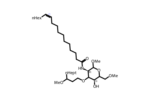 CCCCCC/C=C\CCCCCCCCCC(=O)N[C@H]1C(OC)OC(COC)[C@@H](O)C1OCCC(CCCCCCC)OC